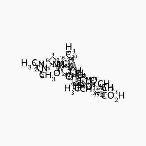 Cc1cc(C)n(C[C@@H]2CCCN2C(=O)[C@]23CC[C@@H](C4(C)CC4)[C@@H]2[C@H]2CC[C@@H]4[C@@]5(C)CC[C@H](OC(=O)[C@H]6C[C@@H](C(=O)O)C6(C)C)C(C)(C)[C@@H]5CC[C@@]4(C)[C@]2(C)CC3)n1